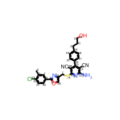 Cc1cc(-c2nc(CSc3nc(N)c(C#N)c(-c4ccc(CCCO)cc4)c3C#N)co2)ccc1Cl